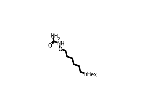 CCCCCCCCCCCCONC(N)=O